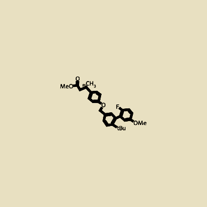 COC(=O)C[C@@H](C)c1ccc(OCc2ccc(C(C)(C)C)c(-c3cc(OC)ccc3F)c2)cc1